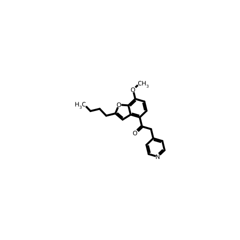 CCCCc1cc2c(C(=O)Cc3ccncc3)ccc(OC)c2o1